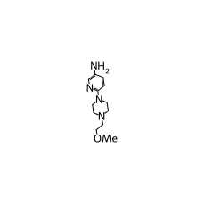 COCCN1CCN(c2ccc(N)cn2)CC1